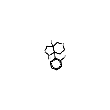 Fc1ccccc1[C@]12CCOC[C@H]1CON2